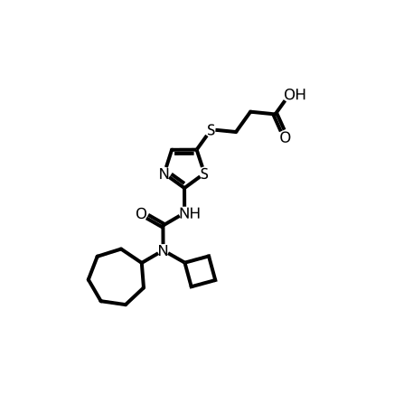 O=C(O)CCSc1cnc(NC(=O)N(C2CCCCCC2)C2CCC2)s1